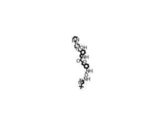 CC(C)(C)c1cc(NCOCNc2ccc3oc(C(=O)c4cc5c(CN6CCN(c7ncccn7)CC6)c(O)ccc5[nH]4)cc3c2)no1